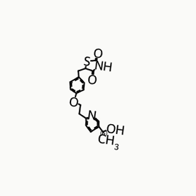 C[C@H](O)c1ccc(CCOc2ccc(CC3SC(=O)NC3=O)cc2)nc1